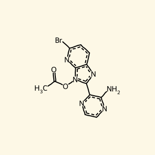 CC(=O)On1c(-c2nccnc2N)nc2ccc(Br)nc21